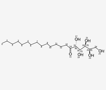 CCCCCCCCCCCCCCC(=O)[C@H](O)[C@@H](O)[C@@H](O)[C@H](O)CO